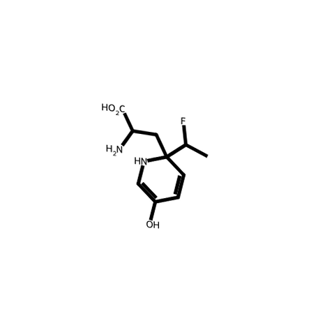 CC(F)C1(CC(N)C(=O)O)C=CC(O)=CN1